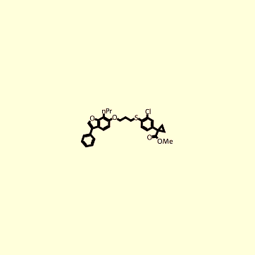 CCCc1c(OCCCSc2ccc(C3(C(=O)OC)CC3)cc2Cl)ccc2c(-c3ccccc3)coc12